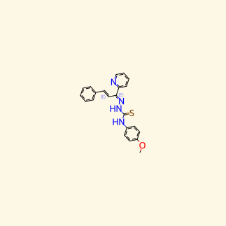 COc1ccc(NC(=S)N/N=C(\C=C\c2ccccc2)c2ccccn2)cc1